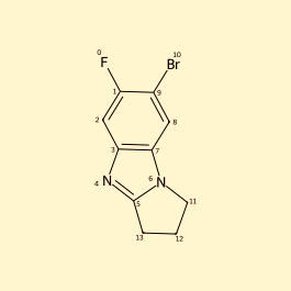 Fc1cc2nc3n(c2cc1Br)CCC3